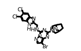 Clc1cc2nc(CNc3nc(N4CC5CCC(C4)N5)nc4c(Br)cnn34)[nH]c2cc1Cl